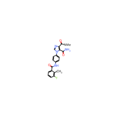 CNC(=O)c1ncn(-c2ccc(NC(=O)c3cccc(F)c3C)cc2)c1C(N)=O